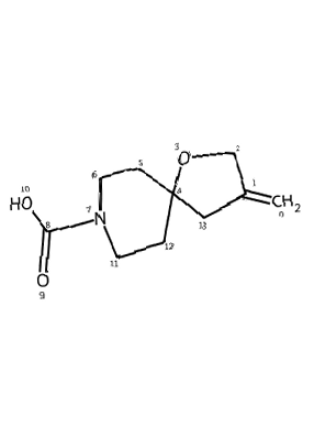 C=C1COC2(CCN(C(=O)O)CC2)C1